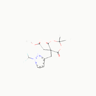 COC(=O)CC1(Cc2ccn(C(F)F)n2)C(=O)OC(C)(C)OC1=O